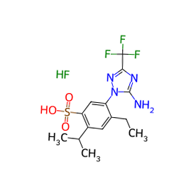 CCc1cc(C(C)C)c(S(=O)(=O)O)cc1-n1nc(C(F)(F)F)nc1N.F